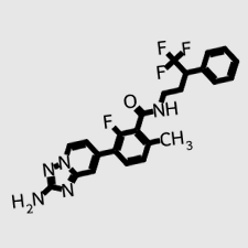 Cc1ccc(-c2ccn3nc(N)nc3c2)c(F)c1C(=O)NCCC(c1ccccc1)C(F)(F)F